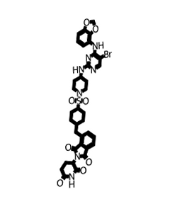 O=C1CCC(N2C(=O)c3cccc(CC4CCC(S(=O)(=O)N5CCC(Nc6ncc(Br)c(Nc7cccc8c7OCO8)n6)CC5)CC4)c3C2=O)C(=O)N1